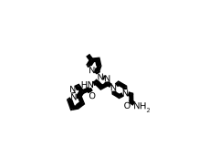 Cc1ccc(-n2nc(N3CCN(CC(N)=O)CC3)cc2NC(=O)c2cnn3ccccc23)nc1